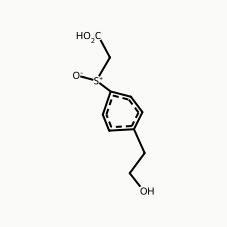 O=C(O)C[S+]([O-])c1ccc(CCO)cc1